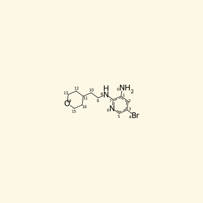 Nc1cc(Br)cnc1NCCC1CCOCC1